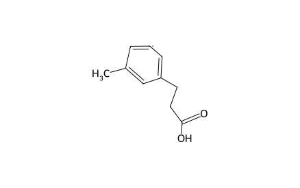 Cc1c[c]cc(CCC(=O)O)c1